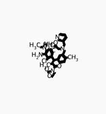 CCN(N)c1ccc(C(c2ccc(C)c(CN3Cc4cccnc4OC(C)(C)C3)c2)C(C)C(=O)N2CCOC2=O)c(Cl)c1N